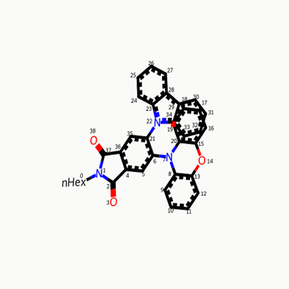 CCCCCCN1C(=O)c2cc(N3c4ccccc4Oc4ccccc43)c(-n3c4ccccc4c4ccccc43)cc2C1=O